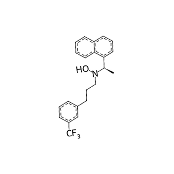 C[C@H](c1cccc2ccccc12)N(O)CCCc1cccc(C(F)(F)F)c1